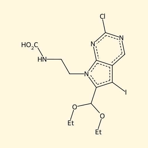 CCOC(OCC)c1c(I)c2cnc(Cl)nc2n1CCNC(=O)O